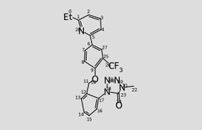 CCc1cccc(-c2ccc(OCc3ccccc3-n3nnn(C)c3=O)c(C(F)(F)F)c2)n1